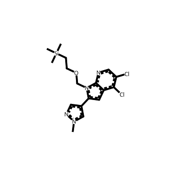 Cn1cc(-c2cc3c(Cl)c(Cl)cnc3n2COCC[Si](C)(C)C)cn1